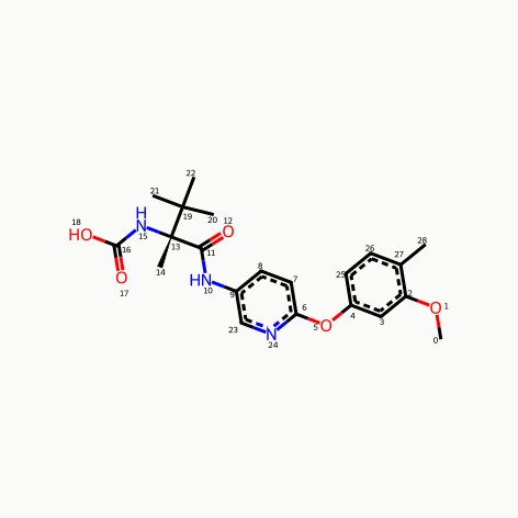 COc1cc(Oc2ccc(NC(=O)[C@](C)(NC(=O)O)C(C)(C)C)cn2)ccc1C